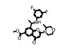 COC(=O)c1cc(C(C)Nc2cc(F)cc(F)c2)c2oc(N3CCOCC3C)cc(=O)c2c1